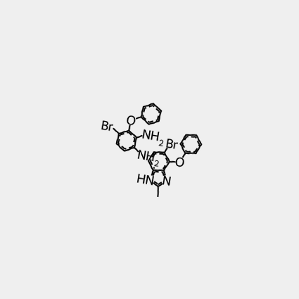 Cc1nc2c(Oc3ccccc3)c(Br)ccc2[nH]1.Nc1ccc(Br)c(Oc2ccccc2)c1N